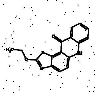 CCOc1nc2ccc3[nH]c4ccccc4c(=O)c3c2s1